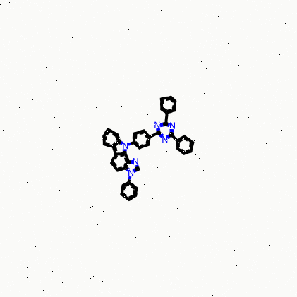 c1ccc(-c2nc(-c3ccccc3)nc(-c3ccc(-n4c5ccccc5c5ccc6c(ncn6-c6ccccc6)c54)cc3)n2)cc1